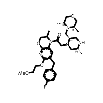 COCCOc1nc2c(cc1Cc1ccc(F)cc1)N(C(=O)CN1C[C@@H](C)NC[C@@H]1CN1[C@H](C)COC[C@H]1C)C(C)CO2